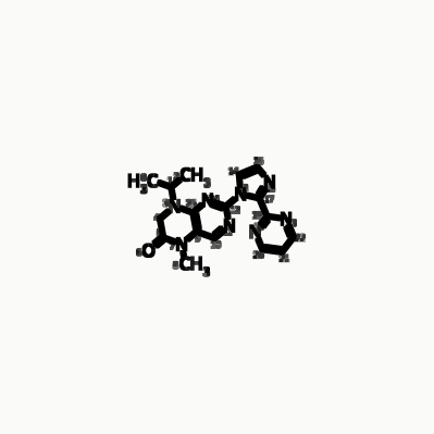 CC(C)N1CC(=O)N(C)c2cnc(-n3ccnc3-c3ncccn3)nc21